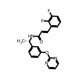 C[C@H](NC(=O)C=Cc1cccc(F)c1F)c1cccc(Oc2ncccn2)c1